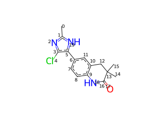 Cc1nc(Cl)c(-c2ccc3c(c2)CC(C)(C)C(=O)N3)[nH]1